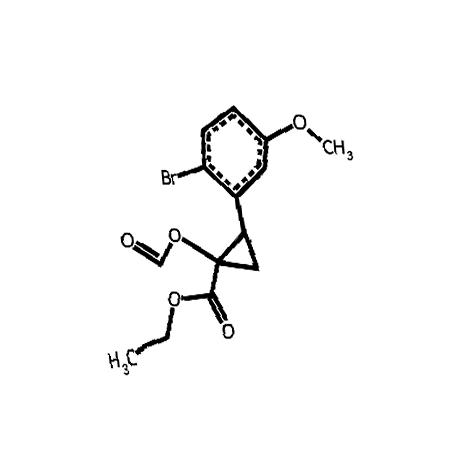 CCOC(=O)C1(OC=O)CC1c1cc(OC)ccc1Br